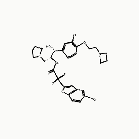 O=C(N[C@H](CN1CCCC1)[C@H](O)c1ccc(OCCN2CCC2)c(Cl)c1)C(F)(F)c1cc2cc(Cl)ccc2o1